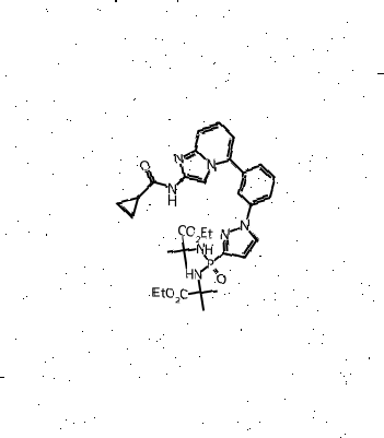 CCOC(=O)C(C)(C)NP(=O)(NC(C)(C)C(=O)OCC)c1ccn(-c2cccc(-c3cccc4nc(NC(=O)C5CC5)cn34)c2)n1